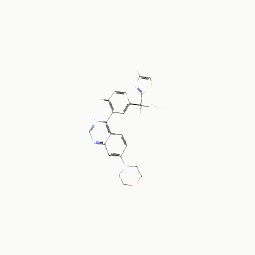 COC(F)(c1ccc(F)c(-c2ncnc3cc(N4CCOCC4)ccc23)c1)c1nc(F)cs1